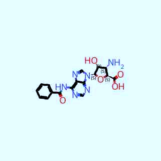 N[C@H]1[C@@H](O)[C@@H](n2cnc3c(NC(=O)c4ccccc4)ncnc32)O[C@@H]1C(=O)O